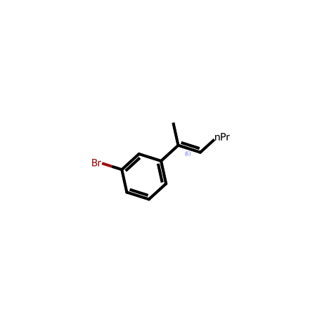 CCC/C=C(\C)c1cccc(Br)c1